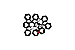 c1ccc(C2(c3ccccc3)c3ccccc3[Si](c3ccccc3)(c3ccccc3)c3[nH]c4c(c32)Oc2ccccc2[Si]4(c2ccccc2)c2ccccc2)cc1